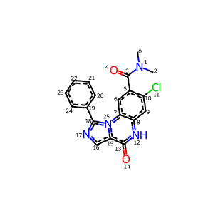 CN(C)C(=O)c1cc2c(cc1Cl)[nH]c(=O)c1cnc(-c3ccccc3)n12